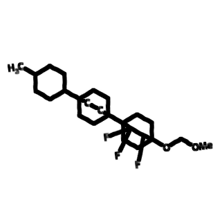 COCOC12CCC(C34CCC(C5CCC(C)CC5)(CC3)CC4)(CC1)C(F)(F)C2F